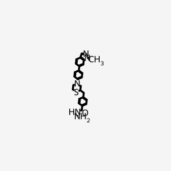 Cn1ncc2ccc(-c3ccc(N4CCSC(Cc5ccc(C(=O)NN)cc5)C4)cc3)cc21